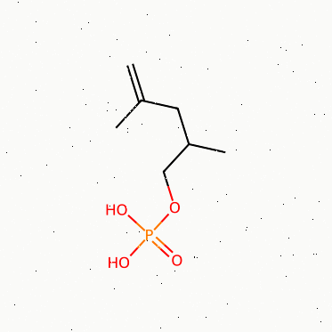 C=C(C)CC(C)COP(=O)(O)O